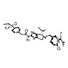 CCS(=O)(=O)c1ccc(CC(=O)Nc2nc3c(s2)CN(Cc2ccc(=O)n(C(F)F)c2)[C@H]3C(C)C)cc1